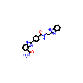 NC(=O)c1cccc2[nH]c(-c3ccc(C(=O)NCCc4nc5ccccc5[nH]4)cc3)nc12